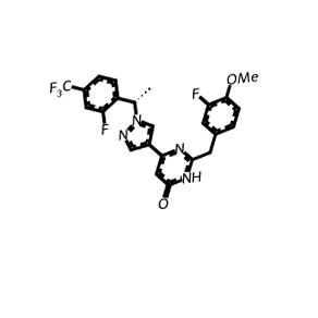 COc1ccc(Cc2nc(-c3cnn([C@@H](C)c4ccc(C(F)(F)F)cc4F)c3)cc(=O)[nH]2)cc1F